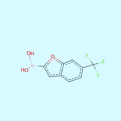 OB(O)c1cc2ccc(C(F)(F)F)cc2o1